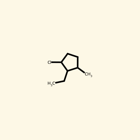 CC[C]1C(C)CCC1Cl